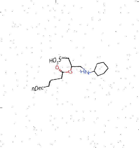 CCCCCCCCCCCCCC(=O)OC(CNC1CCCCC1)CS(=O)(=O)O